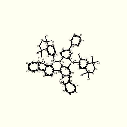 Cc1cc2c(cc1N1c3cc(-c4ccccc4)ccc3B3c4c1cc1c(oc5ccccc51)c4-c1ccc4c(oc5ccccc54)c1N3c1ccc3c(c1)C(C)(C)CCC3(C)C)C(C)(C)CCC2(C)C